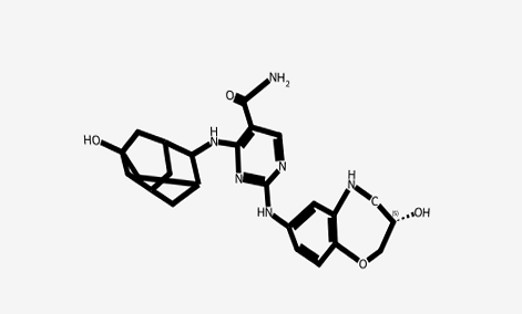 NC(=O)c1cnc(Nc2ccc3c(c2)NC[C@H](O)CO3)nc1NC1C2CC3CC1CC(O)(C3)C2